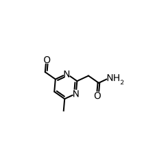 Cc1cc(C=O)nc(CC(N)=O)n1